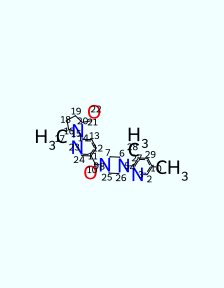 Cc1cnc(N2CCN(C(=O)c3ccc(N4C(C)CCC4C=O)nc3)CC2)c(C)c1